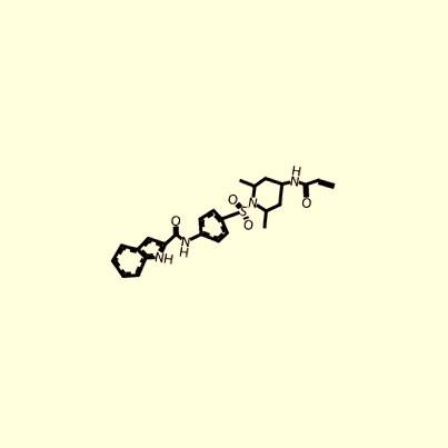 C=CC(=O)NC1CC(C)N(S(=O)(=O)c2ccc(NC(=O)c3cc4ccccc4[nH]3)cc2)C(C)C1